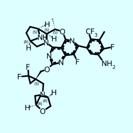 Cc1c(F)c(N)cc(-c2nc3c4c(nc(OC[C@@]5(CN6C[C@H]7C[C@@H]6CO7)CC5(F)F)nc4c2F)N2C[C@H]4CC[C@H](N4)[C@H]2[C@H](C)O3)c1C(F)(F)F